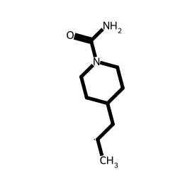 C[CH]CC1CCN(C(N)=O)CC1